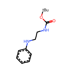 CC(C)(C)OC(=O)NCCNc1ccccc1